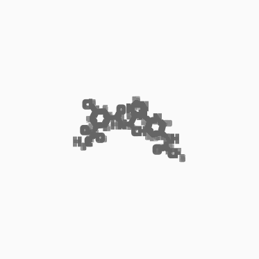 C[C@@H](NC(=O)c1cc(Cl)cc(S(C)(=O)=O)c1)c1ncnn1-c1ccc(NC(=O)C(F)(F)F)cn1